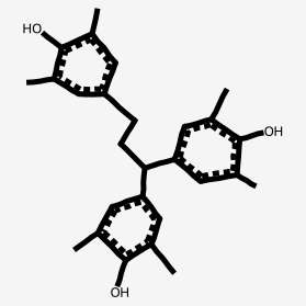 Cc1cc(CCC(c2cc(C)c(O)c(C)c2)c2cc(C)c(O)c(C)c2)cc(C)c1O